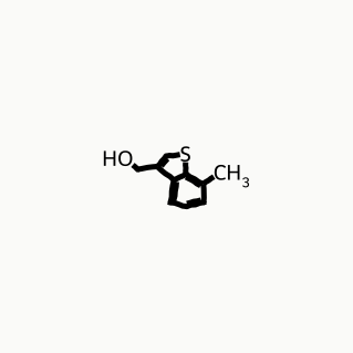 Cc1cccc2c(CO)csc12